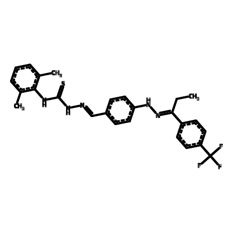 CC/C(=N\Nc1ccc(C=NNC(=S)Nc2c(C)cccc2C)cc1)c1ccc(C(F)(F)F)cc1